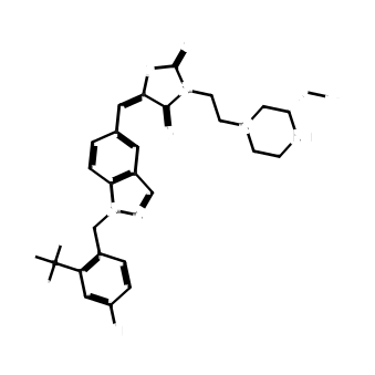 O=C1SC(=Cc2ccc3c(cnn3Cc3ccc(Cl)cc3C(F)(F)F)c2)C(=O)N1CCN1CCN[C@@H](CO)C1